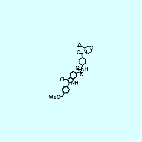 COCc1ccc(-c2[nH]c3cc(S(=O)(=O)NC4CCC(C(=O)N5CCOCC5C5CC5)CC4)ccc3c2Cl)cc1